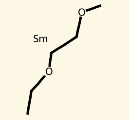 CCOCCOC.[Sm]